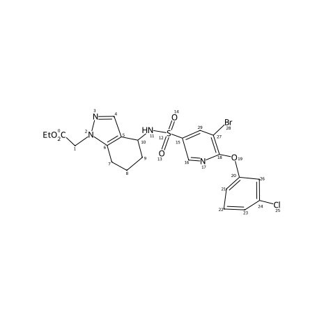 CCOC(=O)Cn1ncc2c1CCCC2NS(=O)(=O)c1cnc(Oc2cccc(Cl)c2)c(Br)c1